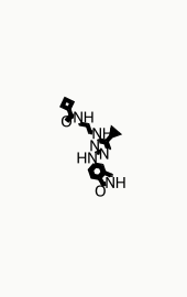 O=C1NCc2cc(Nc3ncc(C4CC4)c(NCCCNC(=O)C4CCC4)n3)ccc21